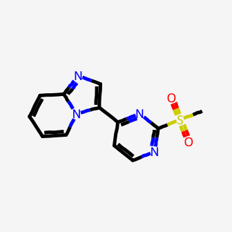 CS(=O)(=O)c1nccc(-c2cnc3ccccn23)n1